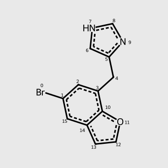 Brc1cc(Cc2c[nH]cn2)c2occc2c1